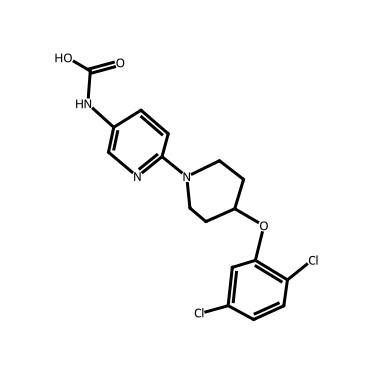 O=C(O)Nc1ccc(N2CCC(Oc3cc(Cl)ccc3Cl)CC2)nc1